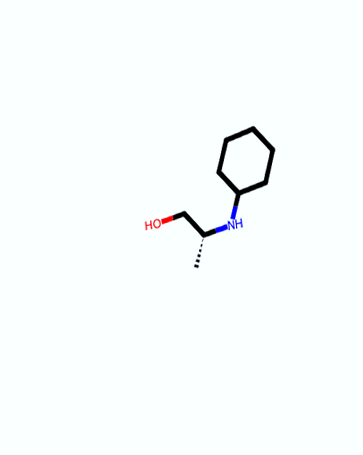 C[C@H](CO)NC1CCCCC1